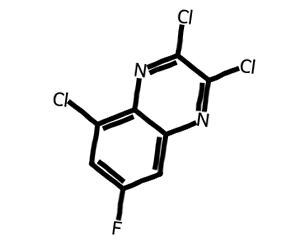 Fc1cc(Cl)c2nc(Cl)c(Cl)nc2c1